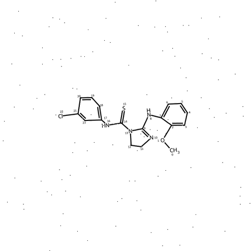 COc1ccccc1NC1=NCCN1C(=S)Nc1cccc(Cl)c1